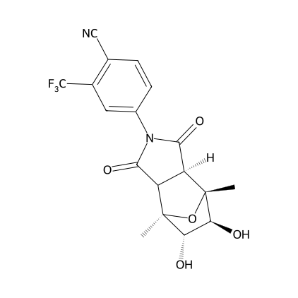 C[C@@]12O[C@](C)(C3C(=O)N(c4ccc(C#N)c(C(F)(F)F)c4)C(=O)[C@H]31)[C@@H](O)[C@@H]2O